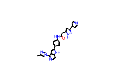 Cc1cn(-c2nccc3[nH]c(-c4ccc(NC(=O)Cc5cc(-c6ccncc6)n[nH]5)cc4)cc23)cn1